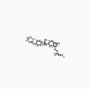 NC(=O)C=Cc1c[nH]c2ncc(NC(=O)c3ccc(CN4CCOCC4)cc3)cc12